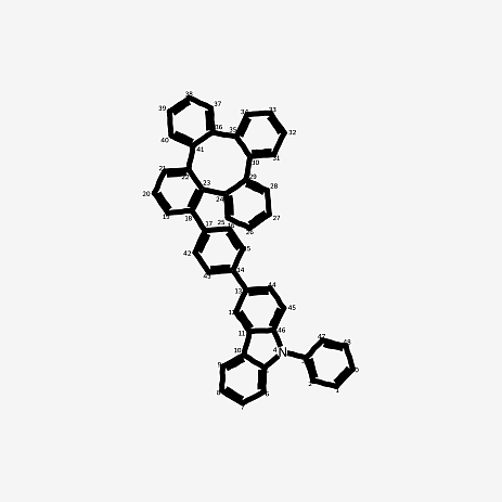 c1ccc(-n2c3ccccc3c3cc(-c4ccc(-c5cccc6c5-c5ccccc5-c5ccccc5-c5ccccc5-6)cc4)ccc32)cc1